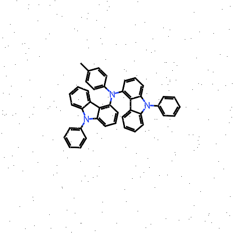 Cc1ccc(N(c2cccc3c2c2ccccc2n3-c2ccccc2)c2cccc3c2c2ccccc2n3-c2ccccc2)cc1